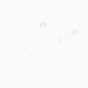 C#CCC(C)C(=O)Cl